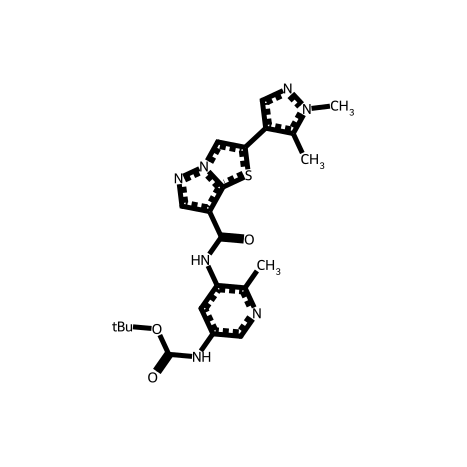 Cc1ncc(NC(=O)OC(C)(C)C)cc1NC(=O)c1cnn2cc(-c3cnn(C)c3C)sc12